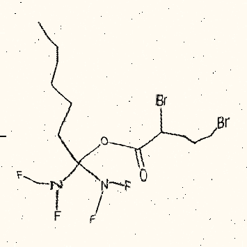 CCCCCC(OC(=O)C(Br)CBr)(N(F)F)N(F)F